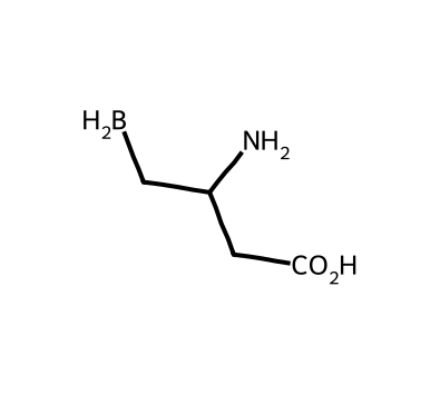 BCC(N)CC(=O)O